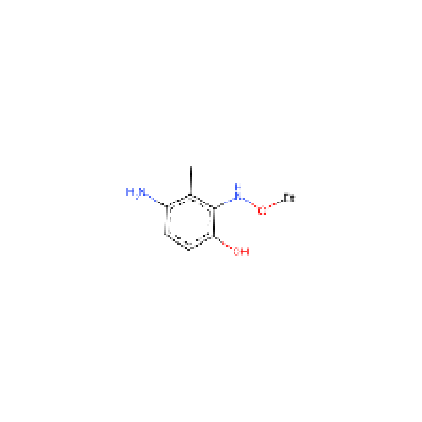 CCONc1c(O)ccc(N)c1C